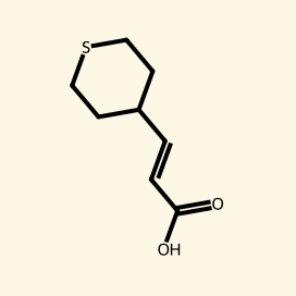 O=C(O)/C=C/C1CCSCC1